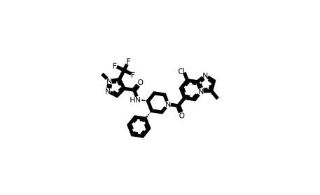 Cc1cnc2c(Cl)cc(C(=O)N3CC[C@@H](NC(=O)c4cnn(C)c4C(F)(F)F)[C@@H](c4ccccc4)C3)cn12